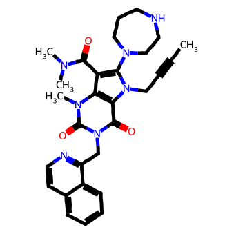 CC#CCn1c(N2CCCNCC2)c(C(=O)N(C)C)c2c1c(=O)n(Cc1nccc3ccccc13)c(=O)n2C